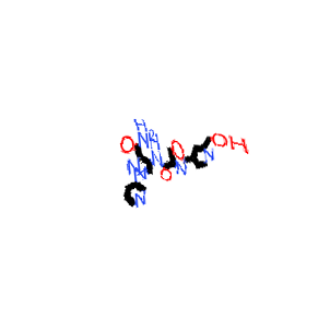 NC(=O)c1nn(-c2cccnc2)cc1NC(=O)c1coc(-c2ccnc(CO)c2)n1